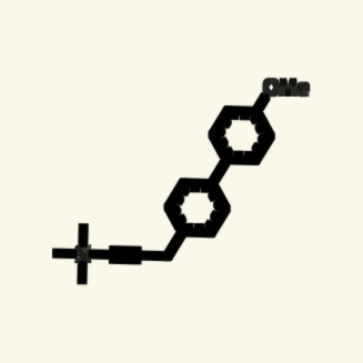 COc1ccc(-c2ccc(CC#C[Si](C)(C)C)cc2)cc1